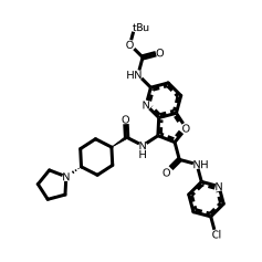 CC(C)(C)OC(=O)Nc1ccc2oc(C(=O)Nc3ccc(Cl)cn3)c(NC(=O)[C@H]3CC[C@H](N4CCCC4)CC3)c2n1